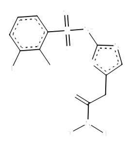 Cc1c(Cl)cccc1S(=O)(=O)Nc1ncc(CC(=O)N(C(C)C)C(C)C)s1